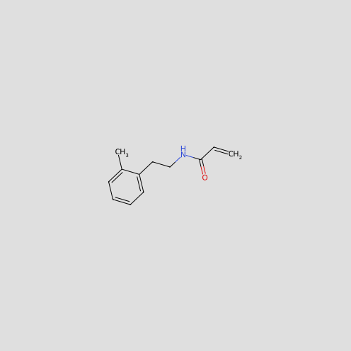 C=CC(=O)NCCc1ccccc1C